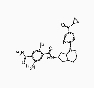 NC(=O)c1cc(Br)c(C(=O)NC2CC3CCCN(c4ccc(C(=O)C5CC5)cn4)C3C2)cc1N